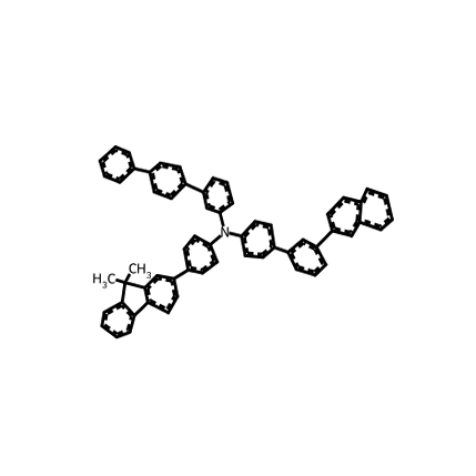 CC1(C)c2ccccc2-c2ccc(-c3ccc(N(c4ccc(-c5cccc(-c6ccc7ccccc7c6)c5)cc4)c4cccc(-c5ccc(-c6ccccc6)cc5)c4)cc3)cc21